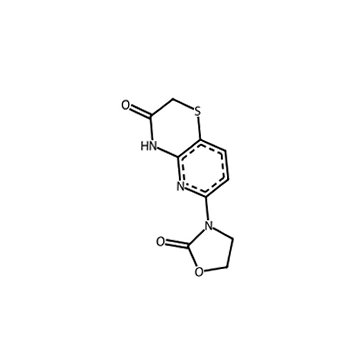 O=C1CSc2ccc(N3CCOC3=O)nc2N1